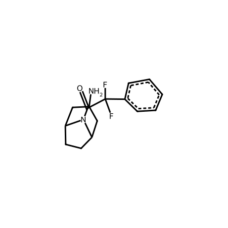 NC1CC2CCC(C1)N2C(=O)C(F)(F)c1ccccc1